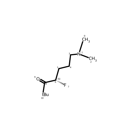 CN(C)CCC[C@H](F)C(=O)C(C)(C)C